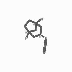 [N-]=[N+]=N[C@@H]1C[C@@H]2CC[C@@H](C2)C1